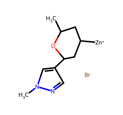 CC1C[CH]([Zn+])CC(c2cnn(C)c2)O1.[Br-]